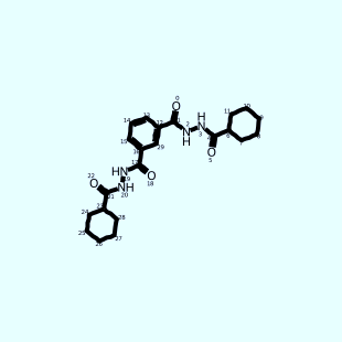 O=C(NNC(=O)C1CCCCC1)c1cccc(C(=O)NNC(=O)C2CCCCC2)c1